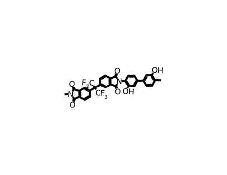 Cc1ccc(-c2ccc(N3C(=O)c4ccc(C(c5ccc6c(c5)C(=O)N(C)C6=O)(C(F)(F)F)C(F)(F)F)cc4C3=O)c(O)c2)cc1O